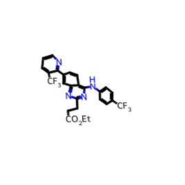 CCOC(=O)CCc1nc(Nc2ccc(C(F)(F)F)cc2)c2ccc(-c3ncccc3C(F)(F)F)cc2n1